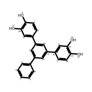 Oc1ccc(-c2cc(-c3ccccc3)cc(-c3ccc(O)c(O)c3)c2)cc1O